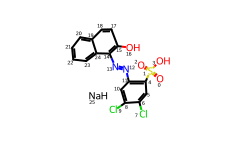 O=S(=O)(O)c1cc(Cl)c(Cl)cc1N=Nc1c(O)ccc2ccccc12.[NaH]